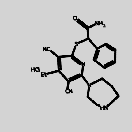 CCc1c(C#N)c(SC(C(N)=O)c2ccccc2)nc(N2CCCNCC2)c1C#N.Cl